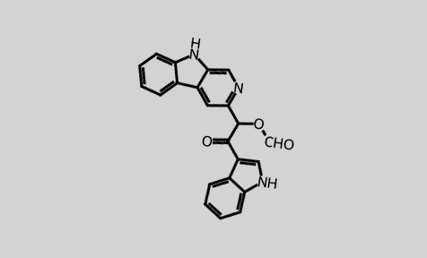 O=COC(C(=O)c1c[nH]c2ccccc12)c1cc2c(cn1)[nH]c1ccccc12